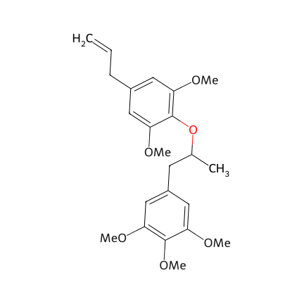 C=CCc1cc(OC)c(OC(C)Cc2cc(OC)c(OC)c(OC)c2)c(OC)c1